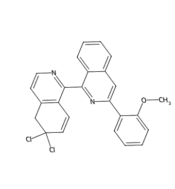 COc1ccccc1-c1cc2ccccc2c(-c2nccc3c2C=CC(Cl)(Cl)C3)n1